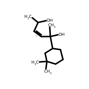 CC(O)/C=C\C(C)(O)C1CCCC(C)(C)C1